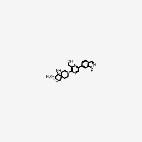 C[C@@H]1OCC2(CCN(c3ncc(-c4ccc5cn[nH]c5c4)nc3CO)CC2)[C@@H]1N